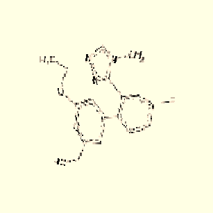 CCOc1cc(-c2ccc(F)cc2-c2nncn2C)cc(CO)n1